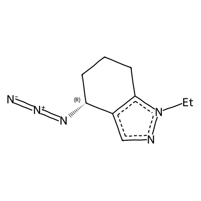 [CH2]Cn1ncc2c1CCC[C@H]2N=[N+]=[N-]